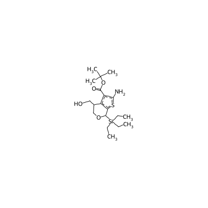 CC[Si](CC)(CC)C1OCC(CO)c2c1sc(N)c2C(=O)OC(C)(C)C